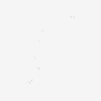 Cc1c(-c2cc(F)c(N)cc2F)ccc2c3oc(N4CC[C@@H](N)C4)nc3c(=O)n(C3CC3)c12